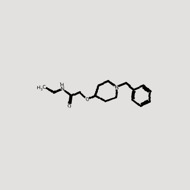 CCNC(=O)COC1CCN(Cc2ccccc2)CC1